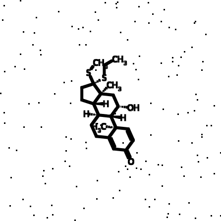 CCS[C@@]1(SC)CC[C@H]2[C@@H]3CCC4=CC(=O)C=C[C@]4(C)[C@H]3[C@@H](O)C[C@@]21C